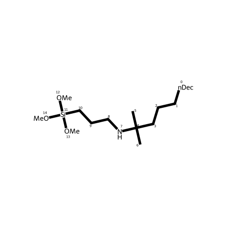 CCCCCCCCCCCCCC(C)(C)NCCC[Si](OC)(OC)OC